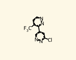 FC(F)(F)c1ccnnc1-c1cnnc(Cl)c1